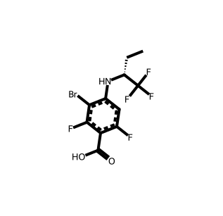 CC[C@@H](Nc1cc(F)c(C(=O)O)c(F)c1Br)C(F)(F)F